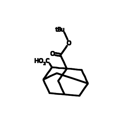 CC(C)(C)OC(=O)C12CC3CC(CC(C3)C1C(=O)O)C2